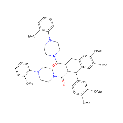 COc1ccc(C2c3cc(OC)c(OC)cc3CC(C(=O)N3CCN(c4ccccc4OC)CC3)C2C(=O)N2CCN(c3ccccc3OC)CC2)cc1OC